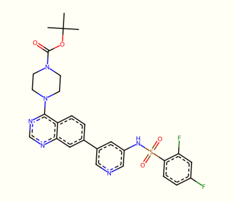 CC(C)(C)OC(=O)N1CCN(c2ncnc3cc(-c4cncc(NS(=O)(=O)c5ccc(F)cc5F)c4)ccc23)CC1